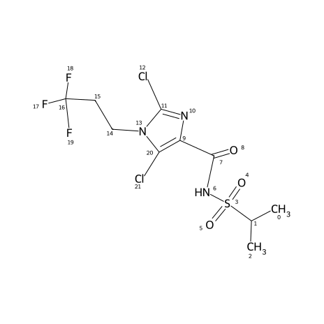 CC(C)S(=O)(=O)NC(=O)c1nc(Cl)n(CCC(F)(F)F)c1Cl